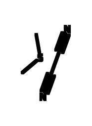 CSC.N#CC#N